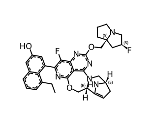 CCc1cccc2cc(O)cc(-c3nc4c5c(nc(OC[C@@]67CCCN6C[C@@H](F)C7)nc5c3F)N3C[C@@H]5CC=C(N5)[C@@H]3CO4)c12